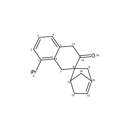 CC(C)c1cccc2c1CC1(CC3=CCC1C3)C(=O)C2